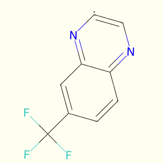 FC(F)(F)c1ccc2nc[c]nc2c1